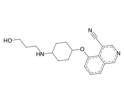 N#Cc1cncc2cccc(OC3CCC(NCCCO)CC3)c12